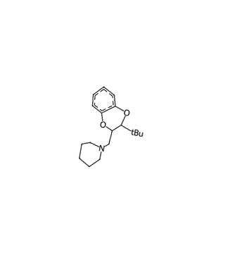 CC(C)(C)C1Oc2ccccc2OC1CN1CCCCC1